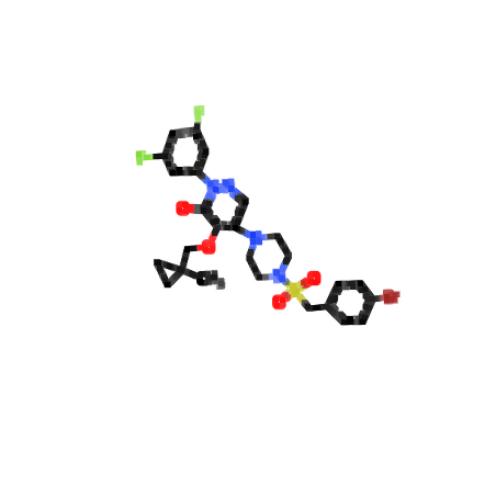 CC1(COc2c(N3CCN(S(=O)(=O)Cc4ccc(Br)cc4)CC3)cnn(-c3cc(F)cc(F)c3)c2=O)CC1